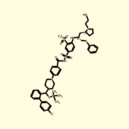 C[Si](C)(C)OC(c1ccccc1-c1ccc(Cl)cc1)C1CCN(c2ccc(C(=O)NS(=O)(=O)c3ccc(N[C@@H](CSc4ccccc4)C[C@@H]4CCCN4CCO)c(S(=O)(=O)C(F)(F)F)c3)cc2)CC1